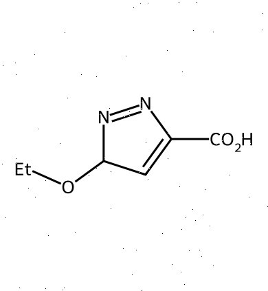 CCOC1C=C(C(=O)O)N=N1